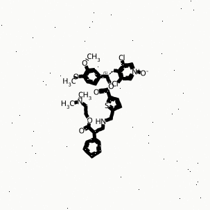 COc1ccc([C@H](Cc2c(Cl)c[n+]([O-])cc2Cl)OC(=O)c2ccc(CNCC(C(=O)OCCN(C)C)c3ccccc3)s2)cc1OC